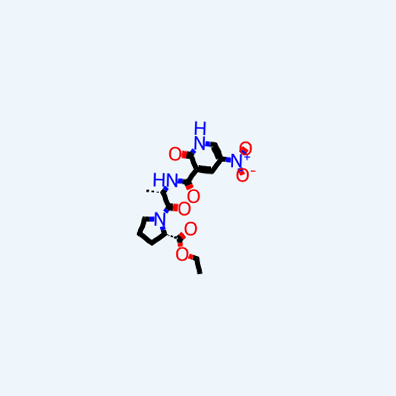 CCOC(=O)[C@@H]1CCCN1C(=O)[C@H](C)NC(=O)c1cc([N+](=O)[O-])c[nH]c1=O